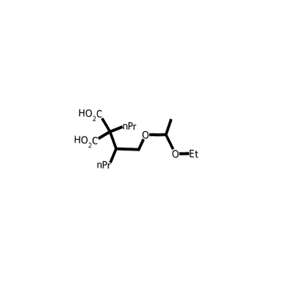 CCCC(COC(C)OCC)C(CCC)(C(=O)O)C(=O)O